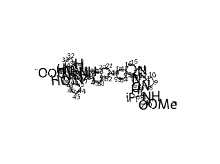 COC(=O)NC(C(=O)N1CCCC1c1nc2ccc3cc(-c4ccc5cc(-c6cnc([C@@H]7[C@H]8CC[C@H](C8)N7[N+](O)(C(=O)[O-])C(C)c7ccccc7)[nH]6)ccc5c4)ccc3c2[nH]1)C(C)C